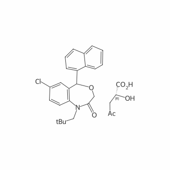 CC(=O)C[C@@H](O)C(=O)O.CC(C)(C)CN1C(=O)COC(c2cccc3ccccc23)c2cc(Cl)ccc21